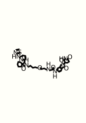 O=C1CCC(N2Cc3cc(NC(=O)CNCCCOCCCCCNC(=O)C4(Cc5cccc(Nc6nccs6)n5)CCCCC4)ccc3C2=O)C(=O)N1